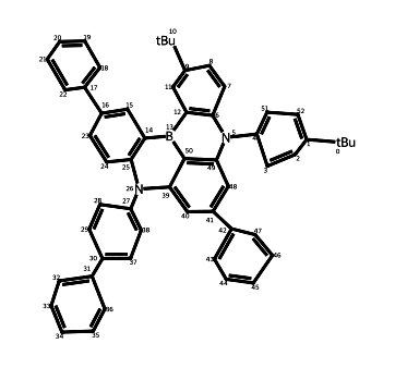 CC(C)(C)c1ccc(N2c3ccc(C(C)(C)C)cc3B3c4cc(-c5ccccc5)ccc4N(c4ccc(-c5ccccc5)cc4)c4cc(-c5ccccc5)cc2c43)cc1